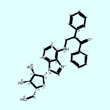 O=C(c1ccccc1)C(CNc1ncnc2c1ncn2[C@@H]1O[C@H](CO)[C@@H](O)[C@H]1O)c1ccccc1